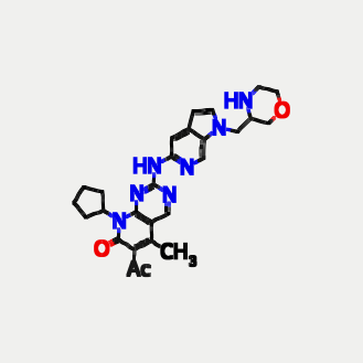 CC(=O)c1c(C)c2cnc(Nc3cc4ccn(CC5COCCN5)c4cn3)nc2n(C2CCCC2)c1=O